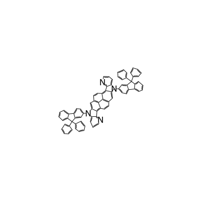 c1ccc(C2(c3ccccc3)c3ccccc3-c3ccc(-n4c5cccnc5c5c6ccc7cc8c(c9ccc(cc54)c6c79)c4ncccc4n8-c4ccc5c(c4)C(c4ccccc4)(c4ccccc4)c4ccccc4-5)cc32)cc1